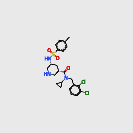 Cc1ccc(S(=O)(=O)N[C@H]2CNC[C@@H](C(=O)N(Cc3cccc(Cl)c3Cl)C3CC3)C2)cc1